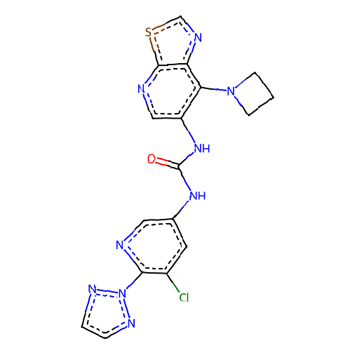 O=C(Nc1cnc(-n2nccn2)c(Cl)c1)Nc1cnc2scnc2c1N1CCC1